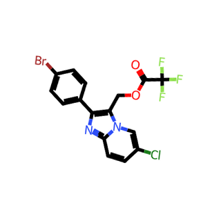 O=C(OCc1c(-c2ccc(Br)cc2)nc2ccc(Cl)cn12)C(F)(F)F